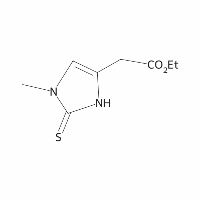 CCOC(=O)Cc1cn(C)c(=S)[nH]1